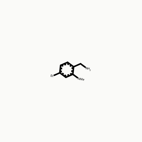 CCc1ccc(CN)c(NC)c1